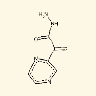 C=C(C(=O)NN)c1cnccn1